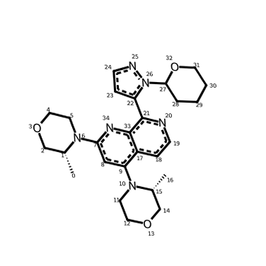 C[C@@H]1COCCN1c1cc(N2CCOC[C@H]2C)c2ccnc(-c3ccnn3C3CCCCO3)c2n1